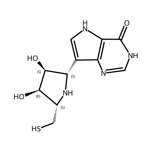 O=c1[nH]cnc2c([C@@H]3N[C@H](CS)[C@@H](O)[C@H]3O)c[nH]c12